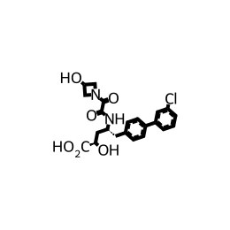 O=C(N[C@H](Cc1ccc(-c2cccc(Cl)c2)cc1)C[C@@H](O)C(=O)O)C(=O)N1CC(O)C1